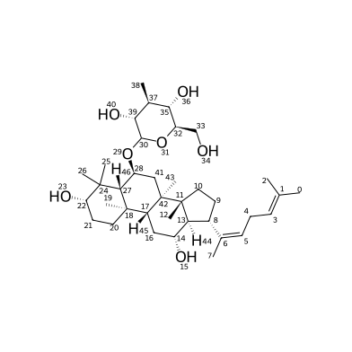 CC(C)=CC/C=C(/C)[C@H]1CC[C@]2(C)[C@@H]1[C@H](O)C[C@@H]1[C@@]3(C)CC[C@H](O)C(C)(C)[C@@H]3[C@@H](OC3O[C@H](CO)[C@@H](O)[C@H](C)[C@H]3O)C[C@]12C